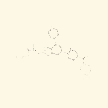 CC(C)(C)OC(=O)NCc1cc2cc(-c3ccc(C(=O)N4CCC(F)(F)CC4)cn3)cc(-c3ccncc3)c2o1